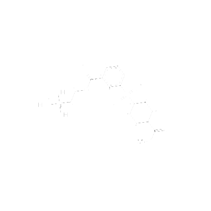 COC(=O)C1CCC(S(=O)(=O)c2cccc(C(=O)OCC[Si](C)(C)C)c2)CC1